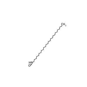 CCCCCCCCCCCCCCCCCCCCCCCCCCNC=O